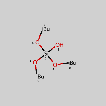 CCC(C)O[Si](O)(OC(C)CC)OC(C)CC